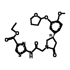 CCOC(=O)c1csc(NC(=O)CN2C[C@H](c3ccc(OC)c(OC4CCCO4)c3)CC2=O)n1